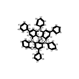 S=P12c3c4cc(-c5ccccc5)cc3N(c3ccccc3)c3cc(-c5ccccc5)c5c(c31)N(c1ccccc1O5)c1cc(-c3ccccc3)cc(c12)N4c1ccccc1